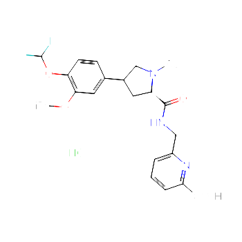 CC(=O)N1CC(c2ccc(OC(F)F)c(OC(C)C)c2)C[C@@H]1C(=O)NCc1cccc(C(=O)O)n1.Cl